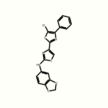 CCc1sc(-c2csc(Nc3ccc4c(c3)OCO4)n2)nc1-c1ccccc1